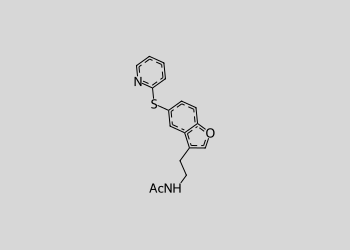 CC(=O)NCCc1coc2ccc(Sc3ccccn3)cc12